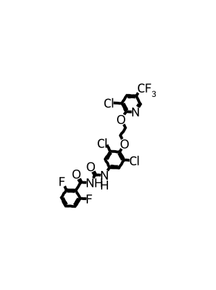 O=C(NC(=O)c1c(F)cccc1F)Nc1cc(Cl)c(OCCOc2ncc(C(F)(F)F)cc2Cl)c(Cl)c1